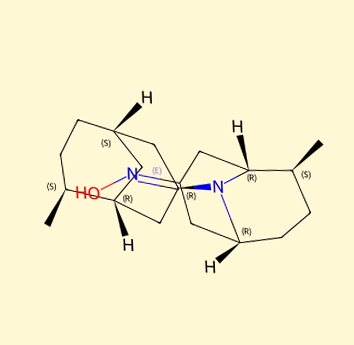 C[C@H]1CC[C@H]2C[C@@H]1C[C@H](N1[C@@H]3CC[C@H](C)[C@H]1C/C(=N/O)C3)C2